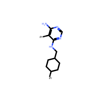 CC(C)c1c(N)ncnc1NCC1CCC(C(C)C)CC1